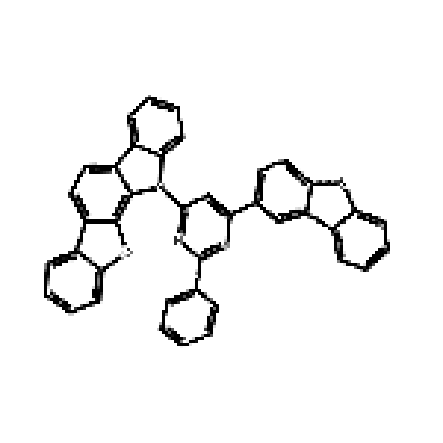 c1ccc(-c2nc(-c3ccc4sc5ccccc5c4c3)cc(-n3c4ccccc4c4ccc5c6ccccc6oc5c43)n2)cc1